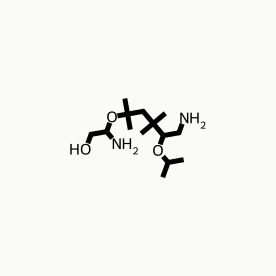 CC(C)OC(CN)C(C)(C)CC(C)(C)OC(N)CO